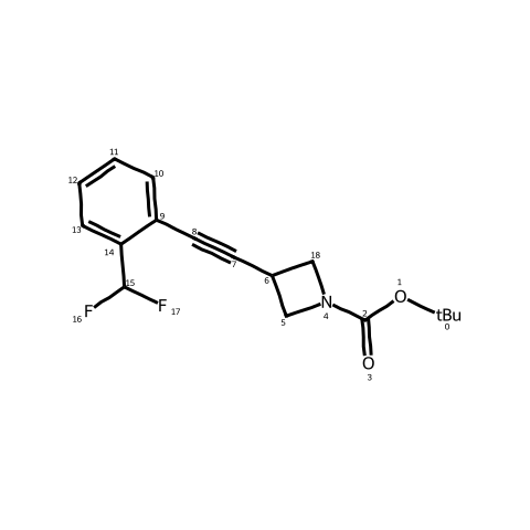 CC(C)(C)OC(=O)N1CC(C#Cc2ccccc2C(F)F)C1